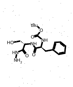 CC(C)(C)OC(=O)N[C@@H](Cc1ccccc1)C(=O)N[C@@H](CO)C(=O)NN